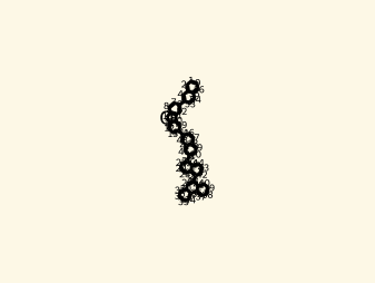 c1ccc2cc(-c3ccc4oc5ccc(-c6ccc7ccc(-c8cccc9c(-c%10cc%11ccccc%11c%11ccccc%10%11)cccc89)cc7c6)cc5c4c3)ccc2c1